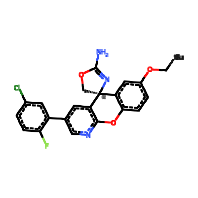 CC(C)(C)COc1ccc2c(c1)[C@@]1(COC(N)=N1)c1cc(-c3cc(Cl)ccc3F)cnc1O2